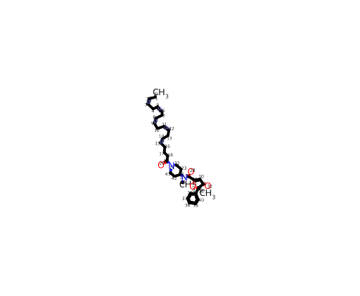 CC/C=C\C/C=C\C/C=C\C/C=C\C/C=C\CCCC(=O)N1CCC(N(C)C(=O)C2=CC(=O)C(C)(c3ccccc3)O2)CC1